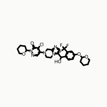 O=c1c(Cl)c(N2CCn3c(C(O)c4ccc(OC5CCCCO5)cc4C(F)(F)F)cnc3C2)cnn1C1CCCCO1